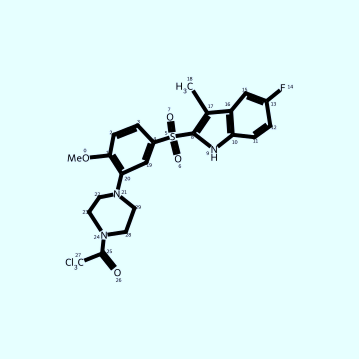 COc1ccc(S(=O)(=O)c2[nH]c3ccc(F)cc3c2C)cc1N1CCN(C(=O)C(Cl)(Cl)Cl)CC1